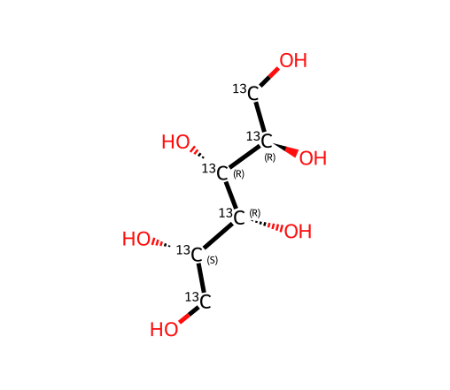 O[13CH2][13C@@H](O)[13C@@H](O)[13C@H](O)[13C@@H](O)[13CH2]O